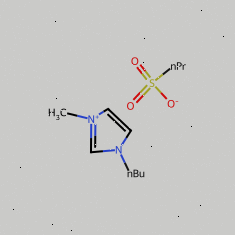 CCCCn1cc[n+](C)c1.CCCS(=O)(=O)[O-]